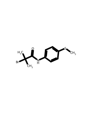 CSc1ccc(NC(=O)C(C)(C)Br)cc1